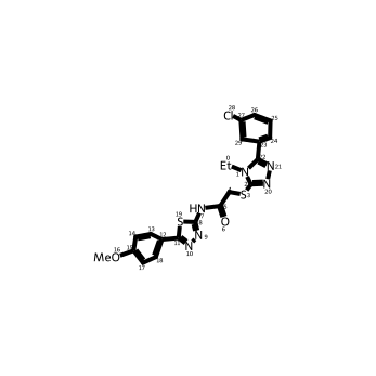 CCn1c(SCC(=O)Nc2nnc(-c3ccc(OC)cc3)s2)nnc1-c1cccc(Cl)c1